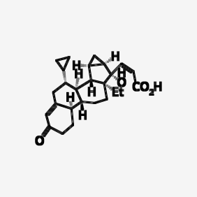 CC[C@]12CC[C@H]3[C@H]([C@@H]1[C@H]1C[C@H]1[C@@]2(O)/C=C\C(=O)O)[C@@H](C1CC1)CC1=CC(=O)CC[C@@H]13